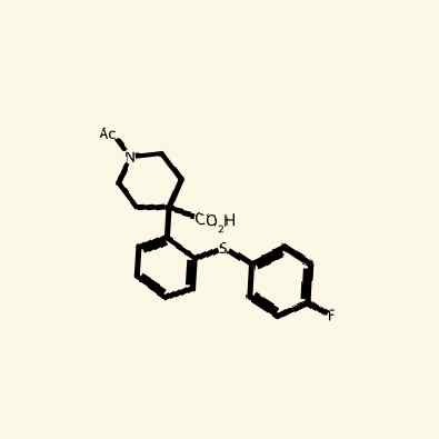 CC(=O)N1CCC(C(=O)O)(c2ccccc2Sc2ccc(F)cc2)CC1